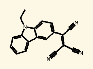 CCn1c2ccccc2c2cc(C(C#N)=C(C#N)C#N)ccc21